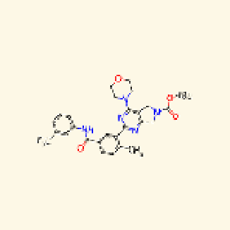 Cc1ccc(C(=O)Nc2cccc(C(F)(F)F)c2)cc1-c1nc2c(c(N3CCOCC3)n1)CN(C(=O)OC(C)(C)C)C2